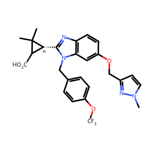 Cn1ccc(COc2ccc3nc([C@@H]4C(C(=O)O)C4(C)C)n(Cc4ccc(OC(F)(F)F)cc4)c3c2)n1